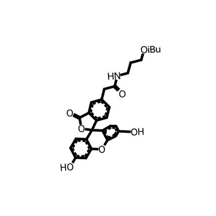 CC(C)COCCCNC(=O)Cc1ccc2c(c1)C(=O)OC21c2ccc(O)cc2Oc2cc(O)ccc21